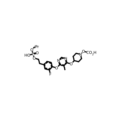 Cc1c(Oc2ccc(CCOP(=O)(O)OC(C)C)cc2F)ncnc1OC1CCN(OC(=O)O)CC1